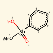 C[O][Sb](=[O])([OH])[c]1ccccc1